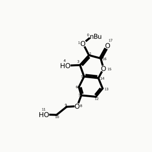 CCCCOc1c(O)c2cc(OCCO)ccc2oc1=O